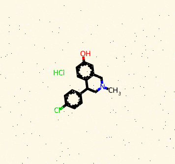 CN1Cc2cc(O)ccc2C(c2ccc(Cl)cc2)C1.Cl